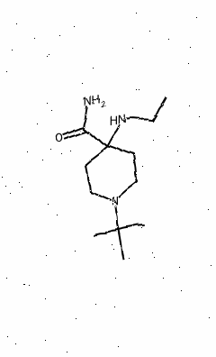 CCNC1(C(N)=O)CCN(C(C)(C)C)CC1